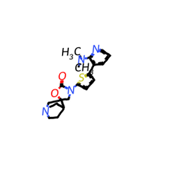 CN(C)c1ncccc1-c1ccc(N2CC3(CN4CCC3CC4)OC2=O)s1